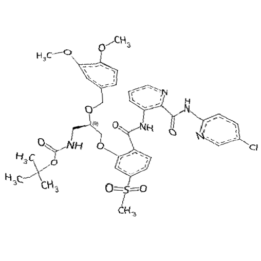 COc1ccc(CO[C@H](CNC(=O)OC(C)(C)C)COc2cc(S(C)(=O)=O)ccc2C(=O)Nc2cccnc2C(=O)Nc2ccc(Cl)cn2)cc1OC